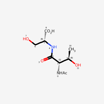 CC(=O)N[C@H](C(=O)N[C@H](CO)C(=O)O)[C@@H](C)O